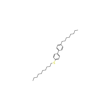 CCCCCCCCCCSc1ccc(-c2ccc(CCCCCCCC)cc2)cc1